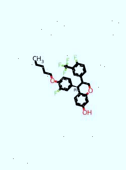 CCCCCOc1ccc([C@@H]2c3ccc(O)cc3OCC2c2ccc(F)c(C(F)(F)F)c2)cc1F